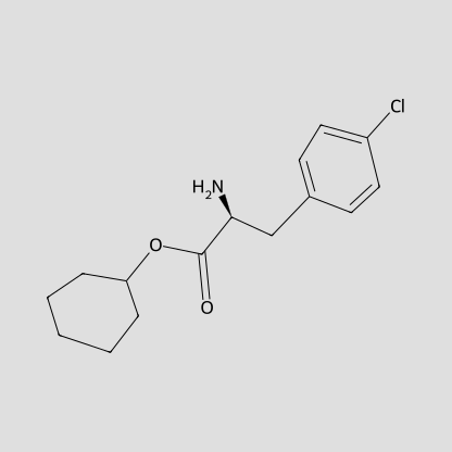 N[C@@H](Cc1ccc(Cl)cc1)C(=O)OC1CCCCC1